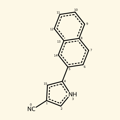 N#Cc1c[nH]c(-c2ccc3ccccc3c2)c1